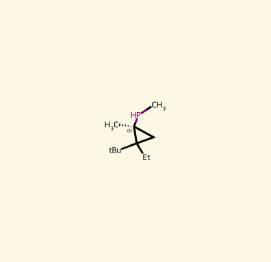 CCC1(C(C)(C)C)C[C@]1(C)PC